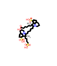 CC1(CCCCS(=O)(=O)O)C(/C=C/C=C/C=C2/N3CCCc4ccc(S(=O)(=O)O)c(c43)C2(C)CCCCCC(=O)O)=[N+]2CCCc3ccc(S(=O)(=O)O)c1c32